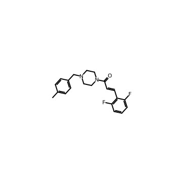 Cc1ccc(CN2CCN(C(=O)C=Cc3c(F)cccc3F)CC2)cc1